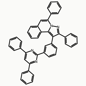 c1ccc(-c2cc(-c3ccccc3)nc(-c3cccc(-c4c(-c5ccccc5)nn5c(-c6ccccc6)cc6ccccc6c45)c3)n2)cc1